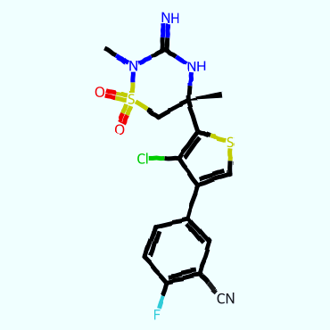 CN1C(=N)N[C@](C)(c2scc(-c3ccc(F)c(C#N)c3)c2Cl)CS1(=O)=O